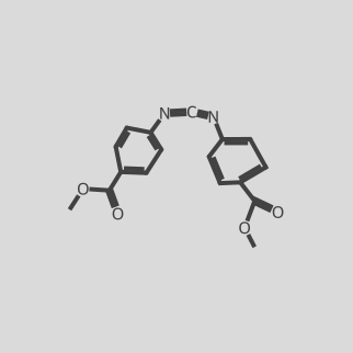 COC(=O)c1ccc(N=C=Nc2ccc(C(=O)OC)cc2)cc1